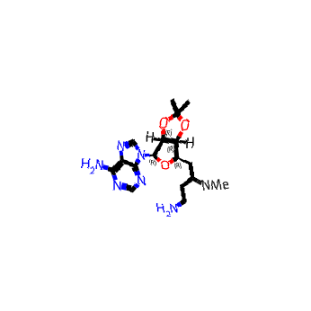 CNC(CCN)C[C@H]1O[C@@H](n2cnc3c(N)ncnc32)[C@@H]2OC(C)(C)O[C@@H]21